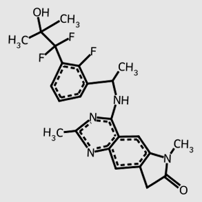 Cc1nc(NC(C)c2cccc(C(F)(F)C(C)(C)O)c2F)c2cc3c(cc2n1)CC(=O)N3C